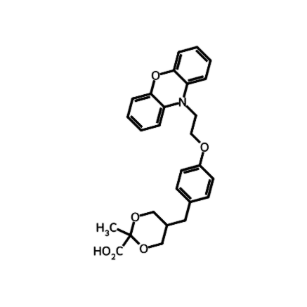 CC1(C(=O)O)OCC(Cc2ccc(OCCN3c4ccccc4Oc4ccccc43)cc2)CO1